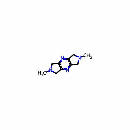 CN1Cc2nc3c(nc2C1)CN(C)C3